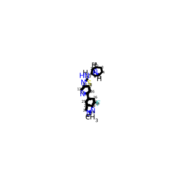 CN1[C@@H]2CC[C@H]1C[C@H](Nc1nc3cnc(-c4cc(F)c5nn(C)cc5c4)cc3s1)C2